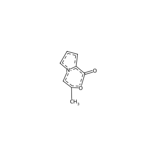 Cc1cn2cccc2c(=O)o1